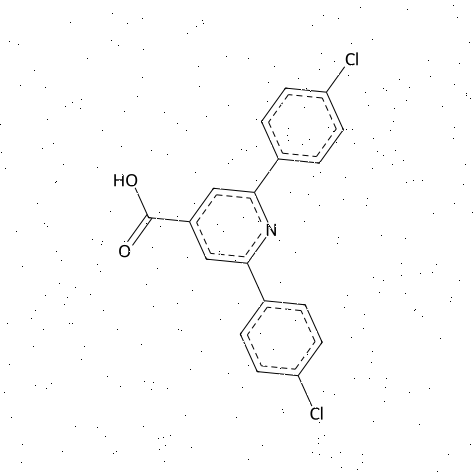 O=C(O)c1cc(-c2ccc(Cl)cc2)nc(-c2ccc(Cl)cc2)c1